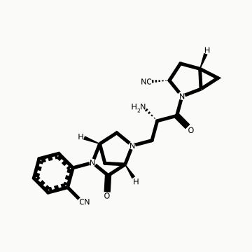 N#Cc1ccccc1N1C(=O)[C@@H]2C[C@H]1CN2C[C@H](N)C(=O)N1C2C[C@H]2C[C@H]1C#N